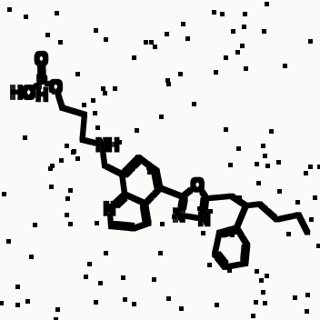 CCCCC(Cc1nnc(-c2ccc(CNCCCO[PH](=O)O)c3ncccc23)o1)c1ccccc1